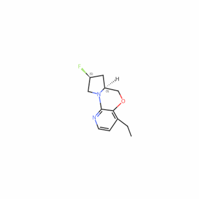 CCc1ccnc2c1OC[C@@H]1C[C@H](F)CN21